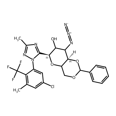 Cc1nc([C@@H]2OC3COC(c4ccccc4)O[C@@H]3C(N=[N+]=[N-])C2O)n(-c2cc(Cl)cc(C)c2C(F)(F)F)n1